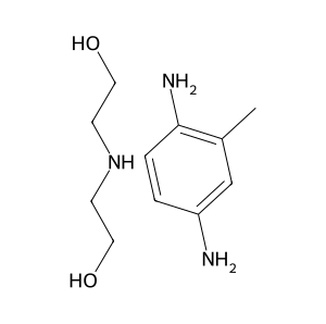 Cc1cc(N)ccc1N.OCCNCCO